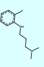 CN(C)CCCNc1cc[c]cc1F